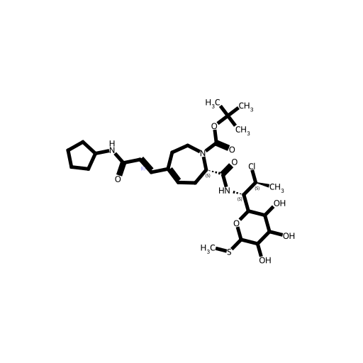 CSC1OC([C@H](NC(=O)[C@@H]2CC=C(/C=C/C(=O)NC3CCCC3)CCN2C(=O)OC(C)(C)C)[C@H](C)Cl)C(O)C(O)C1O